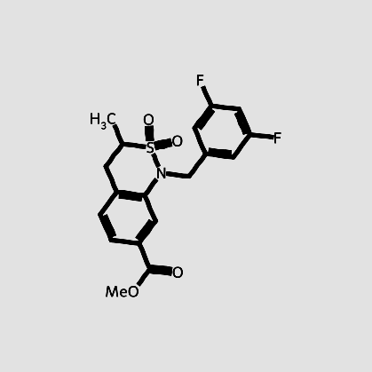 COC(=O)c1ccc2c(c1)N(Cc1cc(F)cc(F)c1)S(=O)(=O)C(C)C2